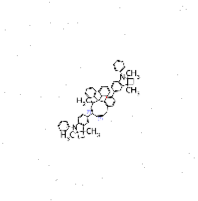 C=C1/C=C(c2ccc3c(c2)C2(C)CCC2(C)N3c2ccccc2)\C=C/Cc2ccc(-c3ccc4c(c3)C3(C)CCC3(C)N4c3ccccc3)cc2C1(c1ccccc1)c1ccccc1